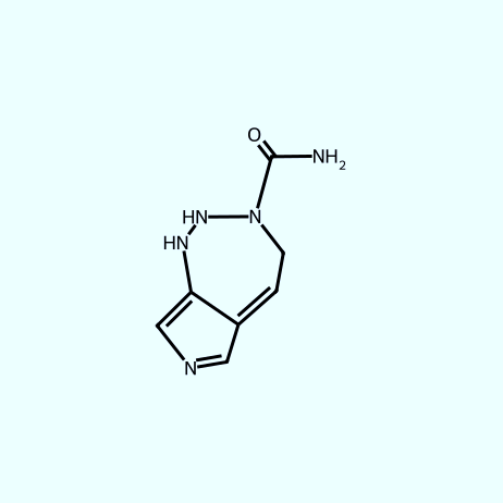 NC(=O)N1CC=C2C=NC=C2NN1